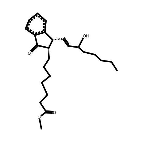 CCCCCC(O)C=C[C@H]1c2ccccc2C(=O)[C@@H]1CCCCCCC(=O)OC